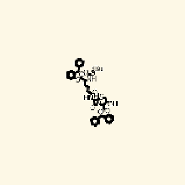 CC(C)(C)OC(=O)NC(CCCC(=O)N[C@@H]1C(=O)N2C(C(=O)OC(c3ccccc3)c3ccccc3)C(O)CS[C@H]12)C(=O)OC(c1ccccc1)c1ccccc1